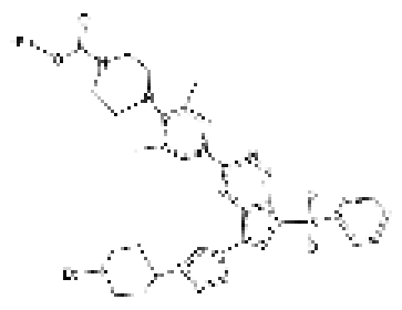 CCN1CCC(n2cc(-c3cn(S(=O)(=O)c4ccccc4)c4nnc(-c5cc(C)c(N6CCN(C(=O)OC(C)(C)C)CC6)c(C)c5)cc34)cn2)CC1